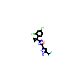 FC(F)c1cc(-c2nc(C3(c4ccc(Cl)cc4Cl)CC3)no2)n[nH]1